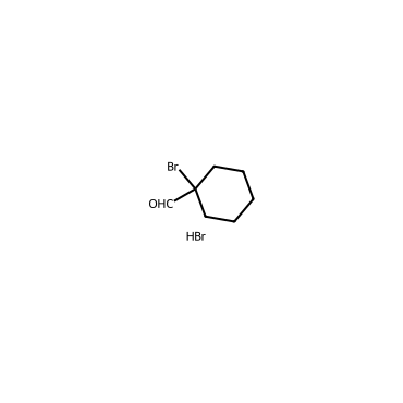 Br.O=CC1(Br)CCCCC1